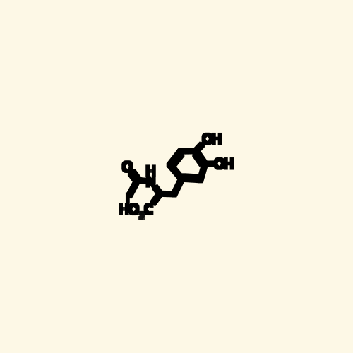 O=C(I)NC(Cc1ccc(O)c(O)c1)C(=O)O